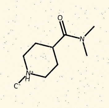 [CH2-][NH+]1CCC(C(=O)N(C)C)CC1